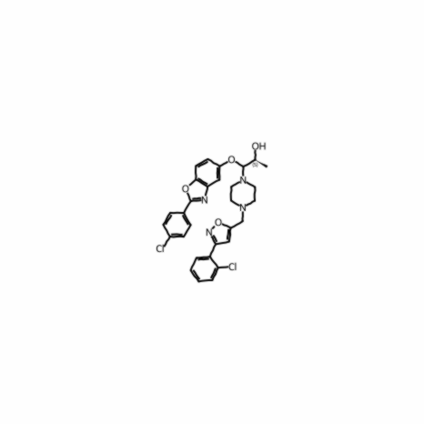 C[C@H](O)C(Oc1ccc2oc(-c3ccc(Cl)cc3)nc2c1)N1CCN(Cc2cc(-c3ccccc3Cl)no2)CC1